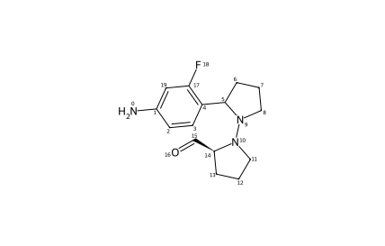 Nc1ccc(C2CCCN2N2CCC[C@H]2C=O)c(F)c1